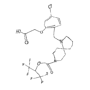 O=C(O)COc1cc(Cl)ccc1CN1CCCC12CCN(C(=O)OC(C(F)(F)F)C(F)(F)F)CC2